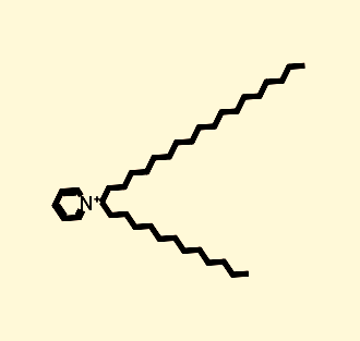 CCCCCCCCCCCCCCCCCCC(CCCCCCCCCCCC)[n+]1ccccc1